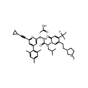 Cc1cc(C)c(-c2cc(C#CC3CC3)nc([C@H](CC(=O)O)NC(=O)[C@H](CC(C)C)n3cc(CCN4CC[C@@H](F)C4)c(C(F)(F)F)cc3=O)c2)c(C)c1